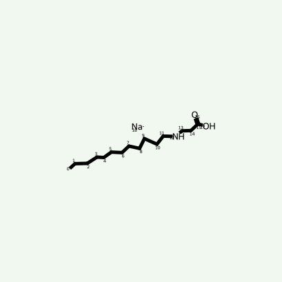 CCCCCCCCCCCCNCCC(=O)O.[Na]